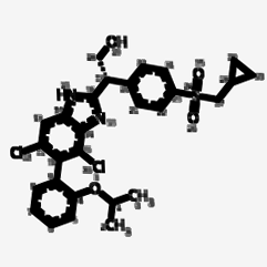 CC(C)Oc1ccccc1-c1c(Cl)cc2[nH]c([C@H](CO)c3ccc(S(=O)(=O)CC4CC4)cc3)nc2c1Cl